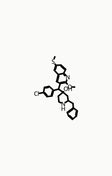 COc1nc2ccc(SC)cc2cc1C(c1ccc(Cl)cc1)C1(O)CCNC(Cc2ccccc2)C1